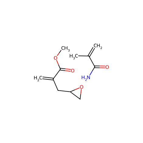 C=C(C)C(N)=O.C=C(CC1CO1)C(=O)OC